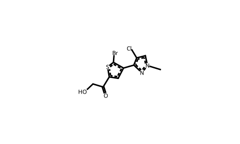 Cn1cc(Cl)c(-c2cc(C(=O)CO)sc2Br)n1